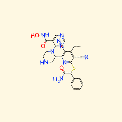 CCc1c(C#N)c(SC(C(N)=O)c2ccccc2)nc(C2CNCCN2c2ncncc2C(=O)NO)c1C#N